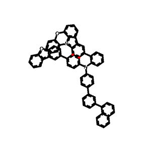 c1cc(-c2ccc(N(c3ccc(-c4ccc5oc6ccccc6c5c4)cc3)c3ccccc3-c3ccc4c(c3)c3cccc5c3n4-c3ccccc3O5)cc2)cc(-c2cccc3ccccc23)c1